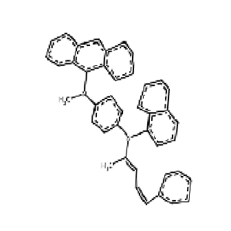 C/C(=C\C=C/c1ccccc1)N(c1ccc(N(C)c2c3ccccc3cc3ccccc23)cc1)c1cccc2ccccc12